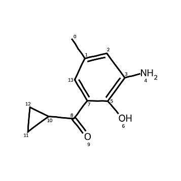 Cc1cc(N)c(O)c(C(=O)C2CC2)c1